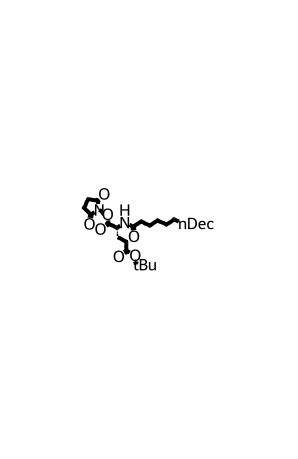 CCCCCCCCCCCCCCCC(=O)N[C@H](CCC(=O)OC(C)(C)C)C(=O)ON1C(=O)CCC1=O